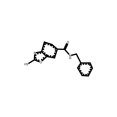 O=C(NCc1ccccc1)c1ccc2nc(S)oc2c1